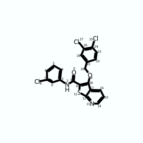 O=C(Nc1cccc(Cl)c1)c1sc2ncccc2c1OCc1ccc(Cl)c(Cl)c1